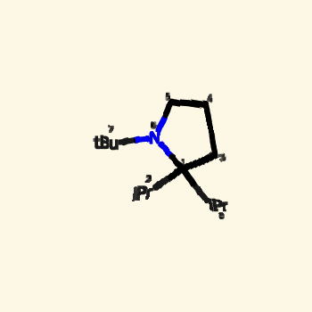 CC(C)C1(C(C)C)CCCN1C(C)(C)C